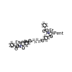 CCCCCC(CC)/C(=N\OC(=O)c1ccccc1)C(=O)c1ccc(OCCCCCCOc2ccc(C(=O)/C(=N/OC(=O)c3ccccc3)C(CC)CCCC)cc2)cc1